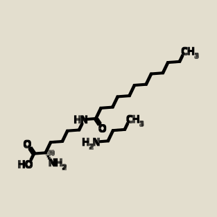 CCCCCCCCCCCC(=O)NCCCC[C@H](N)C(=O)O.CCCCN